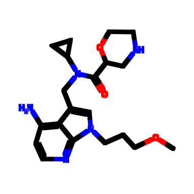 COCCCn1cc(CN(C(=O)C2CNCCO2)C2CC2)c2c(N)ccnc21